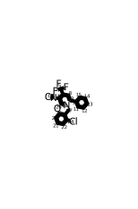 [C-]#[N+]c1c(C(F)(F)F)cc(-c2ccccc2)n(Cc2ccccc2Cl)c1=O